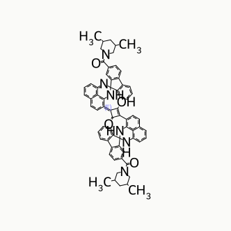 CC1CC(C)CN(C(=O)c2ccc3c(c2)C2(N=c4cccc5cc/c(=C6\C(=O)C(c7ccc8cccc9c8c7NC7(N9)c8ccccc8-c8ccc(C(=O)N9CC(C)CC(C)C9)cc87)=C6O)c(c45)N2)c2ccccc2-3)C1